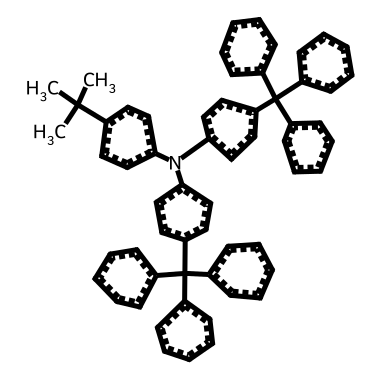 CC(C)(C)c1ccc(N(c2ccc(C(c3ccccc3)(c3ccccc3)c3ccccc3)cc2)c2ccc(C(c3ccccc3)(c3ccccc3)c3ccccc3)cc2)cc1